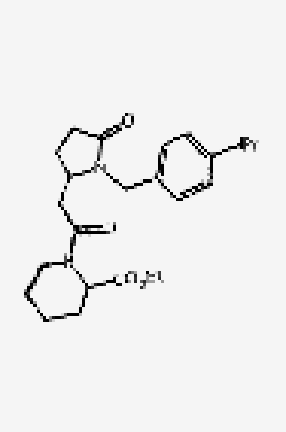 CCOC(=O)C1CCCCN1C(=O)CC1CCC(=O)N1Cc1ccc(C(C)C)cc1